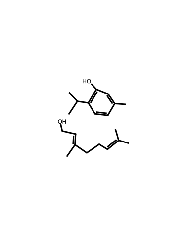 CC(C)=CCCC(C)=CCO.Cc1ccc(C(C)C)c(O)c1